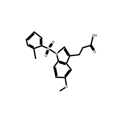 COc1ccc2c(c1)c(CCC(=O)O)cn2S(=O)(=O)c1ccccc1C